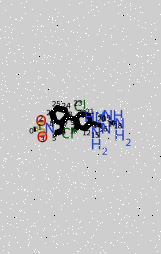 CS(=O)(=O)n1ccc2c(-c3c(Cl)cc(C4(N)N=C(N)NN4)cc3Cl)cccc21